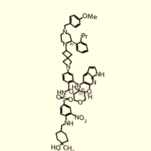 COc1ccc(CN2CCN(C3CC4(C3)CN(c3ccc(C(=O)NS(=O)(=O)c5ccc(NCC6CCC(C)(O)CC6)c([N+](=O)[O-])c5)c(N5c6cc7cc[nH]c7nc6O[C@H]6COCC[C@@H]65)c3)C4)[C@H](c3ccccc3C(C)C)C2)cc1